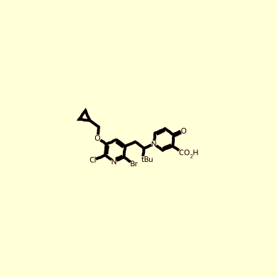 CC(C)(C)C(Cc1cc(OCC2CC2)c(Cl)nc1Br)n1ccc(=O)c(C(=O)O)c1